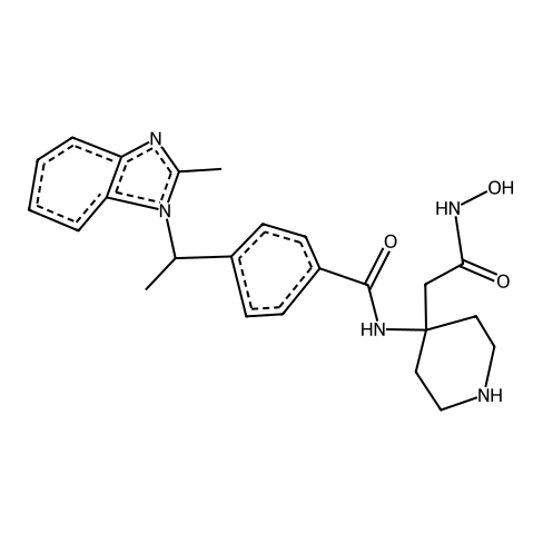 Cc1nc2ccccc2n1C(C)c1ccc(C(=O)NC2(CC(=O)NO)CCNCC2)cc1